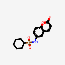 O=c1ccc2cc(NS(=O)(=O)C3CCCCC3)ccc2o1